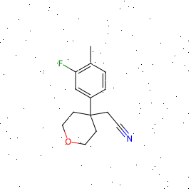 Cc1ccc(C2(CC#N)CCOCC2)cc1F